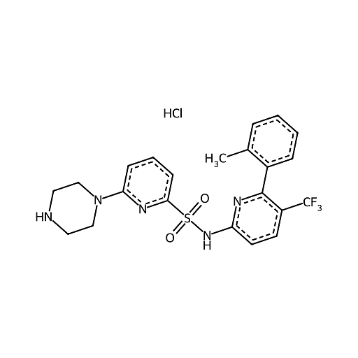 Cc1ccccc1-c1nc(NS(=O)(=O)c2cccc(N3CCNCC3)n2)ccc1C(F)(F)F.Cl